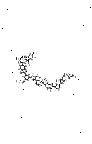 CCCC(C)(c1ccc2[nH]c(-c3cc(-c4nc5cc(C(C)(CC)C(C)c6nc7ccc(C(C)(C)C)cc7[nH]6)ccc5[nH]4)cc(S(=O)(=O)O)c3)nc2c1)C(C)(CC)c1ccc2[nH]c(-c3cccc(-c4nc5cc(C(C)(C)CC)ccc5[nH]4)c3)nc2c1